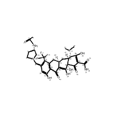 CC(=O)N[C@H]1CCN(Cc2cc(O)c3c(c2C(F)(F)F)C[C@H]2C[C@H]4[C@H](N(C)C)C(O)=C(C(N)=O)C(=O)[C@@]4(O)C(O)=C2C3=O)C1